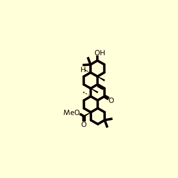 COC(=O)[C@]12CCC(C)(C)CC1C1C(=O)C=C3[C@@]4(C)CCC(O)C(C)(C)[C@@H]4CC[C@@]3(C)[C@]1(C)CC2